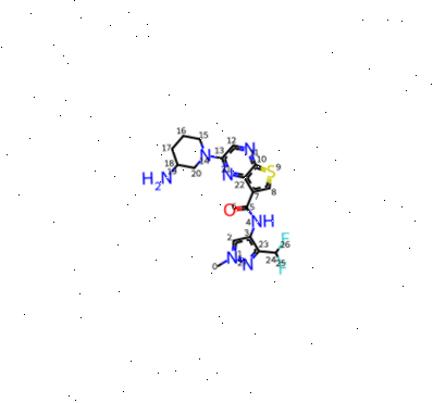 Cn1cc(NC(=O)c2csc3ncc(N4CCCC(N)C4)nc23)c(C(F)F)n1